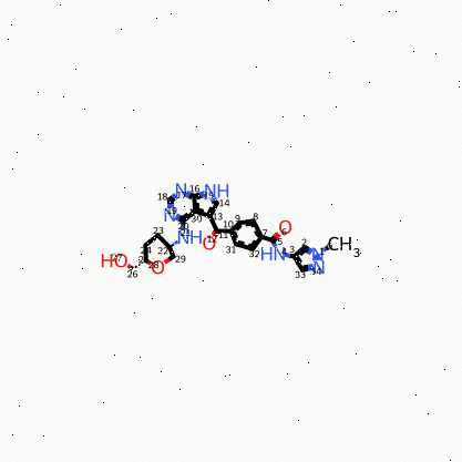 Cn1cc(NC(=O)c2ccc(C(=O)c3c[nH]c4ncnc(N[C@@H]5CC[C@@H](CO)OC5)c34)cc2)cn1